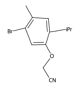 Cc1cc(C(C)C)c(OCC#N)cc1Br